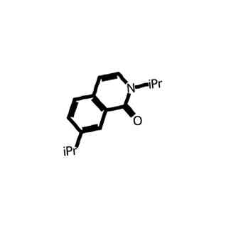 CC(C)c1ccc2ccn(C(C)C)c(=O)c2c1